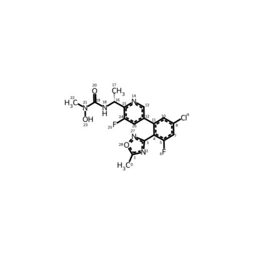 Cc1nc(-c2c(F)cc(Cl)cc2-c2cnc([C@@H](C)NC(=O)N(C)O)c(F)c2)no1